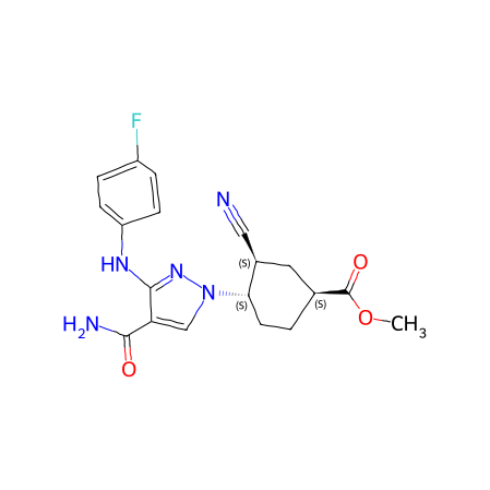 COC(=O)[C@H]1CC[C@H](n2cc(C(N)=O)c(Nc3ccc(F)cc3)n2)[C@@H](C#N)C1